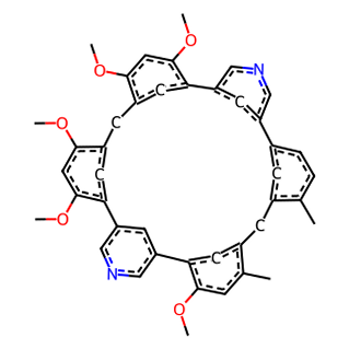 COc1cc(OC)c2cc1Cc1cc(c(OC)cc1OC)-c1cncc(c1)-c1cc(c(C)cc1OC)Cc1cc(ccc1C)-c1cncc-2c1